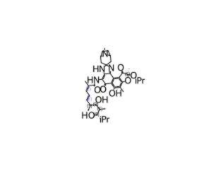 C/C(=C/C=C/[C@H](C)[C@H](O)[C@@H](C)[C@@H](O)C(C)C)C(=O)NC1=C2NC3(CC4CCC(C3)N4C)N=C2c2c(c(O)c(C)c3c2C(=O)[C@@](C)(OC(C)C)O3)C1=O